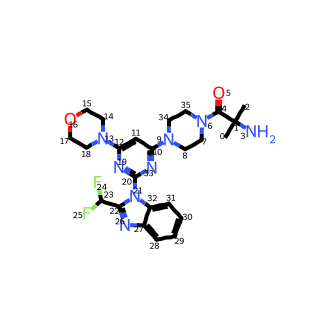 CC(C)(N)C(=O)N1CCN(c2cc(N3CCOCC3)nc(-n3c(C(F)F)nc4ccccc43)n2)CC1